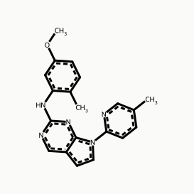 COc1ccc(C)c(Nc2ncc3ccn(-c4ccc(C)cn4)c3n2)c1